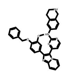 COc1cc(-c2nc3ccccn3c2-c2ccnc(Nc3ccc4c(c3)CCNC4)n2)ccc1OCc1ccccc1